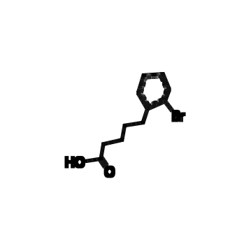 O=C(O)CCCCc1ccccc1Br